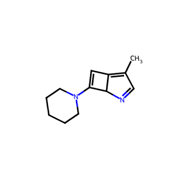 CC1=C2C=C(N3CCCCC3)C2N=C1